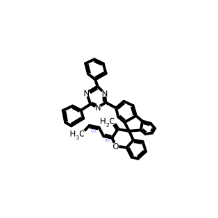 C=C1/C(=C\C=C/C)Oc2ccccc2C12c1ccccc1-c1ccc(-c3nc(-c4ccccc4)nc(-c4ccccc4)n3)cc12